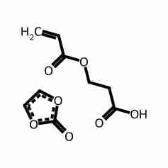 C=CC(=O)OCCC(=O)O.O=c1occo1